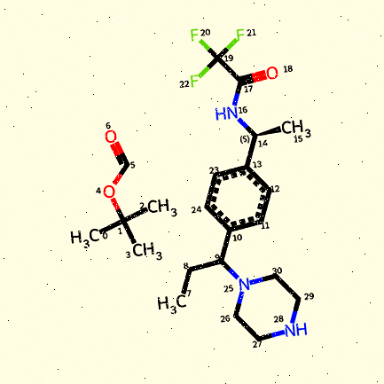 CC(C)(C)OC=O.CCC(c1ccc([C@H](C)NC(=O)C(F)(F)F)cc1)N1CCNCC1